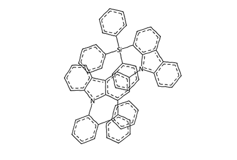 c1ccc(-c2ccccc2-n2c3ccccc3c3cc(-n4c5ccccc5c5cccc([Si](c6ccccc6)(c6ccccc6)c6ccccc6)c54)cc(-c4ccccc4)c32)cc1